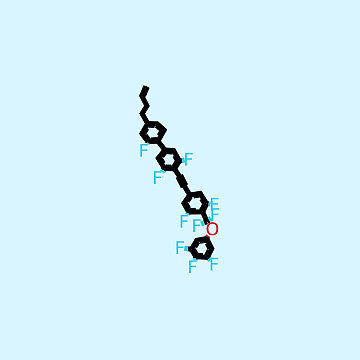 C=CCCc1ccc(-c2cc(F)c(C#Cc3cc(F)c(C(F)(F)Oc4cc(F)c(F)c(F)c4)c(F)c3)c(F)c2)c(F)c1